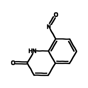 O=Nc1cccc2ccc(=O)[nH]c12